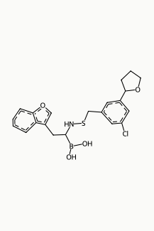 OB(O)C(Cc1coc2ccccc12)NSCc1cc(Cl)cc(C2CCCO2)c1